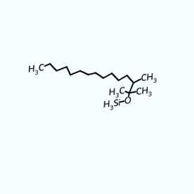 CCCCCCCCCCCCC(C)C(C)(C)O[SiH3]